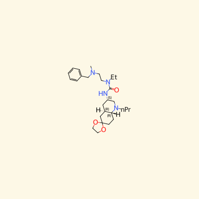 CCCN1C[C@@H](NC(=O)N(CC)CCN(C)Cc2ccccc2)C[C@@H]2CC3(CC[C@H]21)OCCO3